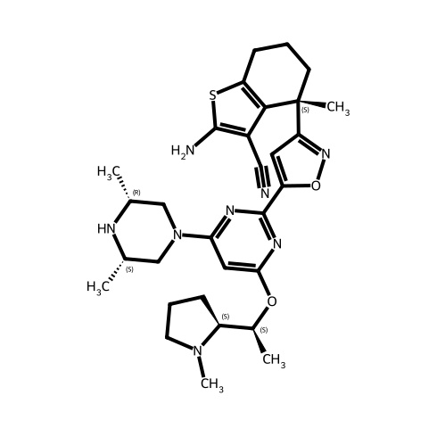 C[C@@H]1CN(c2cc(O[C@@H](C)[C@@H]3CCCN3C)nc(-c3cc([C@@]4(C)CCCc5sc(N)c(C#N)c54)no3)n2)C[C@H](C)N1